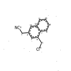 N#CCc1cc(CCl)c2ccccc2c1